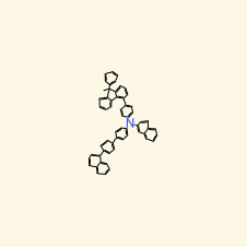 CC1(c2ccccc2)c2ccccc2-c2c(-c3ccc(N(c4ccc(-c5ccc(-c6cccc7ccccc67)cc5)cc4)c4ccc5ccccc5c4)cc3)cccc21